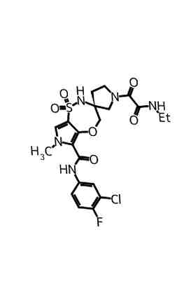 CCNC(=O)C(=O)N1CC[C@]2(COc3c(cn(C)c3C(=O)Nc3ccc(F)c(Cl)c3)S(=O)(=O)N2)C1